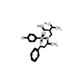 CC(C)C(CO)CN(C(C)CCc1ccccc1)S(=O)(=O)c1ccc(Cl)cc1